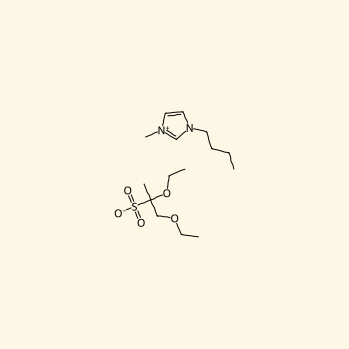 CCCCn1cc[n+](C)c1.CCOCC(C)(OCC)S(=O)(=O)[O-]